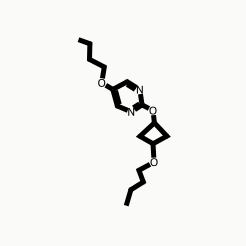 CCCCOc1cnc(OC2CC(OCCCC)C2)nc1